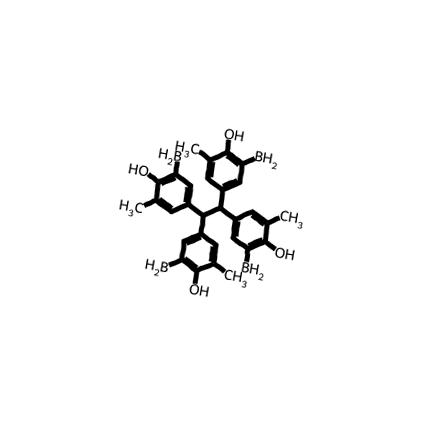 Bc1cc(C(c2cc(B)c(O)c(C)c2)C(c2cc(B)c(O)c(C)c2)c2cc(B)c(O)c(C)c2)cc(C)c1O